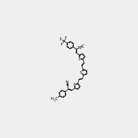 [C-]#[N+]/C(=C\c1ccc(/C=C/c2ccc(/C=C/c3ccc(/C=C(\C#N)c4ccc(C)cc4)s3)s2)s1)c1ccc(C(F)(F)F)cc1